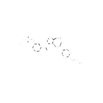 C=c1[nH]cc(C(=O)c2c(F)ccc(NS(=O)(=O)CCC)c2F)/c1=C/C(=C\N)c1cnc(NCCOC)nc1